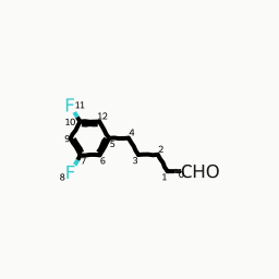 O=CCCCCc1cc(F)cc(F)c1